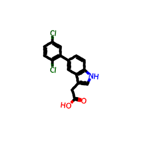 O=C(O)Cc1c[nH]c2ccc(-c3cc(Cl)ccc3Cl)cc12